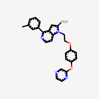 Cc1cccc(-c2nccc3c2cc(C(=O)O)n3CCOc2ccc(Oc3cnccn3)cc2)c1